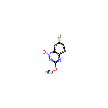 CCCCOc1nc2ccc(Cl)cc2[n+]([O-])n1